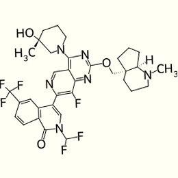 CN1CCC[C@@]2(COc3nc(N4CCC[C@@](C)(O)C4)c4cnc(-c5cn(C(F)F)c(=O)c6ccc(C(F)(F)F)cc56)c(F)c4n3)CCC[C@@H]12